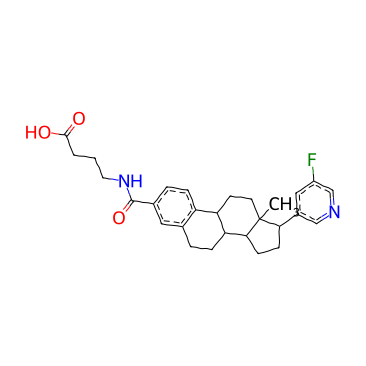 CC12CCC3c4ccc(C(=O)NCCCC(=O)O)cc4CCC3C1CCC2c1cncc(F)c1